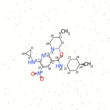 CC1CCN(c2nc(NC3CC3)c([N+](=O)[O-])cc2C(=O)N[C@H]2CC[C@H](C)CC2)CC1